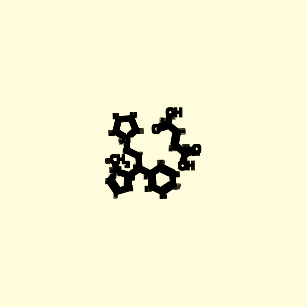 Cn1cccc1C(CCN1CCCC1)c1ccccc1.O=C(O)/C=C/C(=O)O